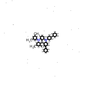 Cc1cc(C)cc(N2c3cc(C)cc(C)c3B3c4cc(-c5ccccc5)ccc4N(c4ccc(-c5ccccc5)cc4)c4cccc2c43)c1